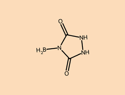 Bn1c(=O)[nH][nH]c1=O